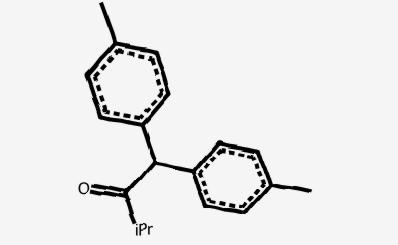 Cc1ccc(C(C(=O)C(C)C)c2ccc(C)cc2)cc1